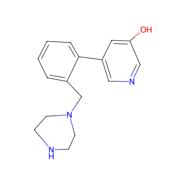 Oc1cncc(-c2ccccc2CN2CCNCC2)c1